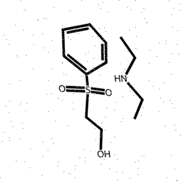 CCNCC.O=S(=O)(CCO)c1ccccc1